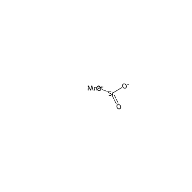 O=[Si]([O-])[O-].[Mn+2]